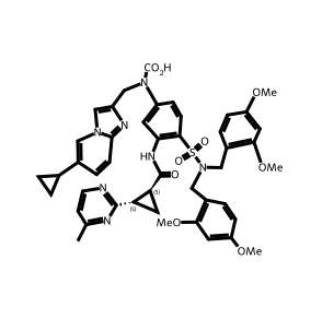 COc1ccc(CN(Cc2ccc(OC)cc2OC)S(=O)(=O)c2ccc(N(Cc3cn4cc(C5CC5)ccc4n3)C(=O)O)cc2NC(=O)[C@H]2C[C@@H]2c2nccc(C)n2)c(OC)c1